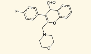 O=CC1C(c2ccc(F)cc2)=C(CN2CCOCC2)Oc2ccccc21